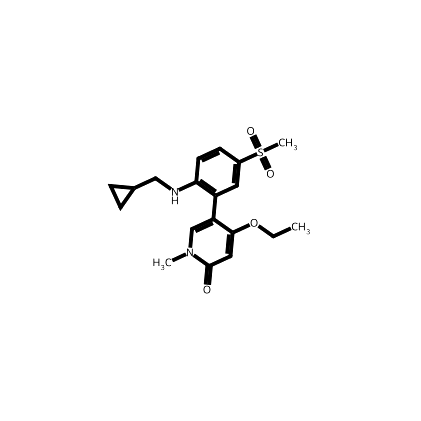 CCOc1cc(=O)n(C)cc1-c1cc(S(C)(=O)=O)ccc1NCC1CC1